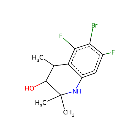 CC1c2c(cc(F)c(Br)c2F)NC(C)(C)C1O